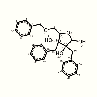 OC1O[C@H](COCc2ccccc2)[C@](O)(Cc2ccccc2)[C@@]1(O)Cc1ccccc1